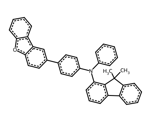 CC1(C)c2ccccc2-c2cccc(N(c3ccccc3)c3ccc(-c4ccc5oc6ccccc6c5c4)cc3)c21